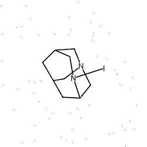 IN1CC2CC3CC1CN(C3)C2